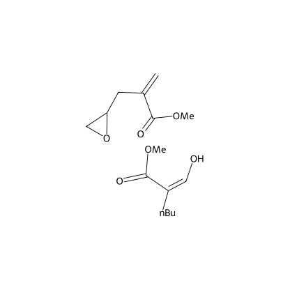 C=C(CC1CO1)C(=O)OC.CCCCC(=CO)C(=O)OC